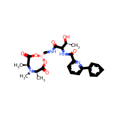 C[C@@H](O)C(NC(=O)c1cccc(-c2ccccc2)n1)C(=O)NCB1OC(=O)[C@H](C)N(C)[C@@H](C)C(=O)O1